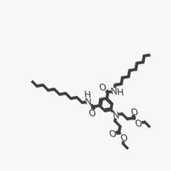 CCCCCCCCCCNC(=O)c1cc(C(=O)NCCCCCCCCCC)cc(N(CCC(=O)OCC)CCC(=O)OCC)c1